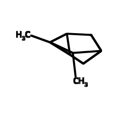 CC1C2CC3C(C2)C13C